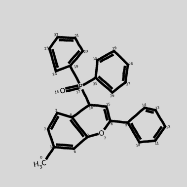 Cc1ccc2c(c1)OC(c1ccccc1)=CC2P(=O)(c1ccccc1)c1ccccc1